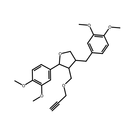 C#CCOCC1C(Cc2ccc(OC)c(OC)c2)COC1c1ccc(OC)c(OC)c1